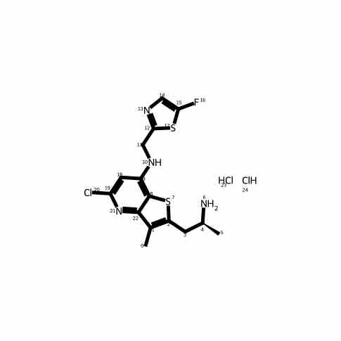 Cc1c(C[C@H](C)N)sc2c(NCc3ncc(F)s3)cc(Cl)nc12.Cl.Cl